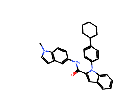 Cn1ccc2cc(NC(=O)c3cc4ccccc4n3-c3ccc(C4CCCCC4)cc3)ccc21